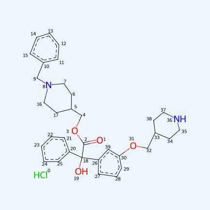 Cl.O=C(OCC1CCN(Cc2ccccc2)CC1)C(O)(c1ccccc1)c1cccc(OCC2CCNCC2)c1